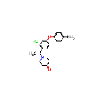 CC(c1ccc(Oc2ccc([N+](=O)[O-])cc2)cc1)N1CCC(=O)CC1.Cl